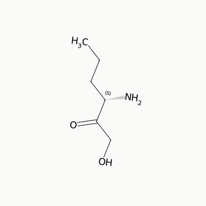 CCC[C@H](N)C(=O)CO